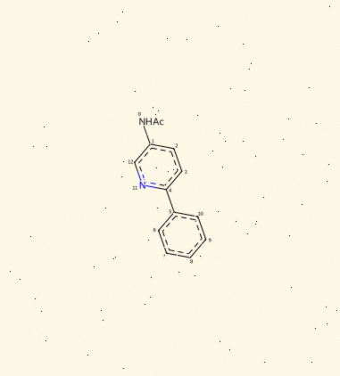 CC(=O)Nc1ccc(-c2ccccc2)nc1